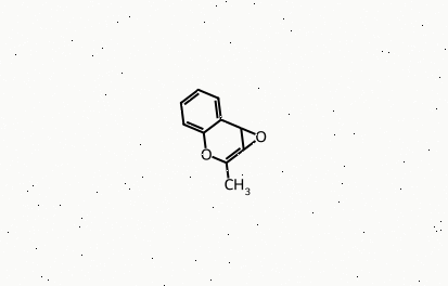 CC1=C2OC2c2ccccc2O1